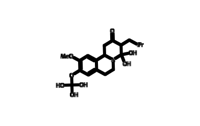 COc1cc2c(cc1OC(O)(O)O)CCN1C2CC(=O)C(CC(C)C)C1(O)O